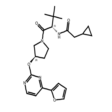 CC(C)(C)[C@H](NC(=O)CC1CC1)C(=O)N1CC[C@@H](Oc2nccc(-c3ccco3)n2)C1